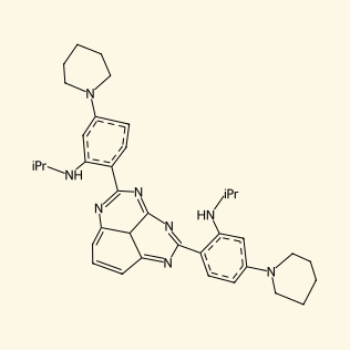 CC(C)Nc1cc(N2CCCCC2)ccc1C1=NC2=CC=CC3=NC(c4ccc(N5CCCCC5)cc4NC(C)C)=NC(=N1)C23